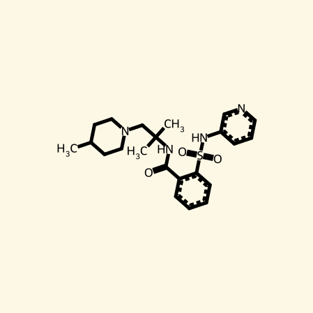 CC1CCN(CC(C)(C)NC(=O)c2ccccc2S(=O)(=O)Nc2cccnc2)CC1